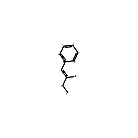 CC/C(F)=C/c1ccccc1